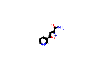 NC(=O)c1cc(-c2cccnc2)on1